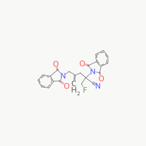 C=C(CN1C(=O)c2ccccc2C1=O)CC(C#N)(CF)N1C(=O)c2ccccc2C1=O